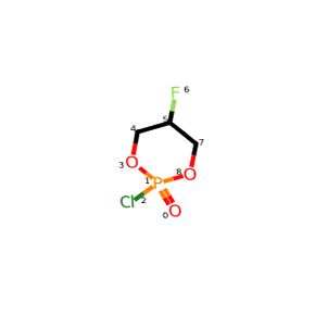 O=P1(Cl)OCC(F)CO1